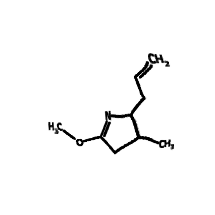 C=CCC1N=C(OC)CC1C